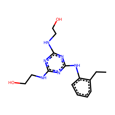 CCc1ccccc1Nc1nc(NCCO)nc(NCCO)n1